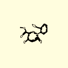 COC(=O)c1nn(-c2ccccc2Cl)c(=O)cc1Cl